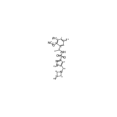 CC(C)c1cc(F)cc(C(C)NS(=O)(=O)c2cc(CN3CC(F)C3)n(C)n2)c1OC#N